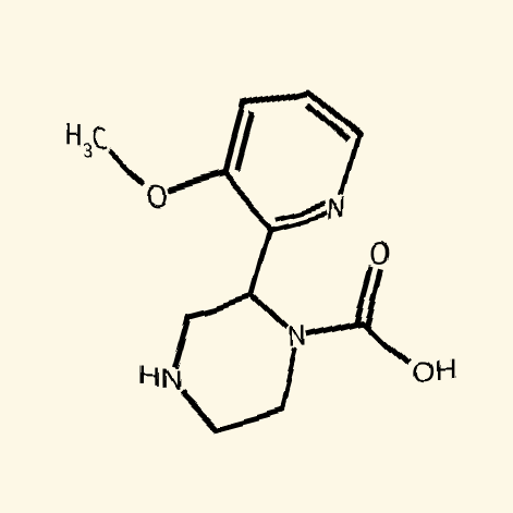 COc1cccnc1C1CNCCN1C(=O)O